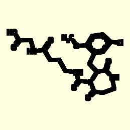 COc1ccc(Cl)cc1CC1C(=O)NCCC(=O)N1C(=O)NCCCC(=O)NCC(=O)O